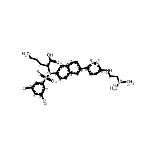 CCCCC(C(=O)O)N(c1ccc2cc(-c3ccc(NCCN(C)C)nn3)ccc2c1)S(=O)(=O)c1cc(Cl)cc(Cl)c1